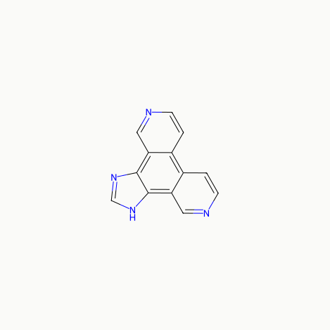 c1cc2c3ccncc3c3[nH]cnc3c2cn1